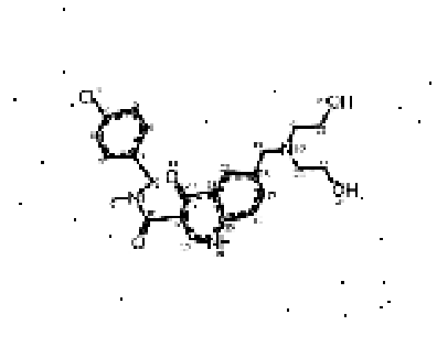 CN(Cc1ccc(Cl)cc1)C(=O)c1c[nH]c2ccc(CN(CCO)CCO)cc2c1=O